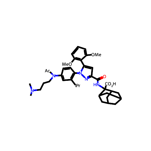 COc1cccc(OC)c1-c1cc(C(=O)NC2(C(=O)O)C3CC4CC(C3)CC2C4)nn1-c1ccc(N(CCCN(C)C)C(C)=O)cc1C(C)C